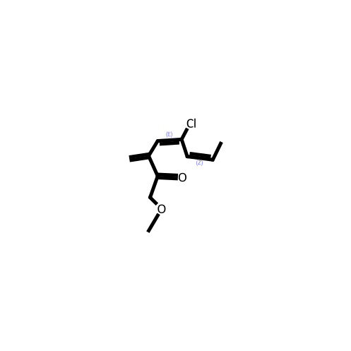 C=C(/C=C(Cl)\C=C/C)C(=O)COC